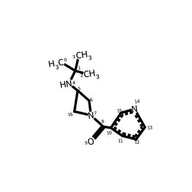 CC(C)(C)NC1CN(C(=O)c2cccnc2)C1